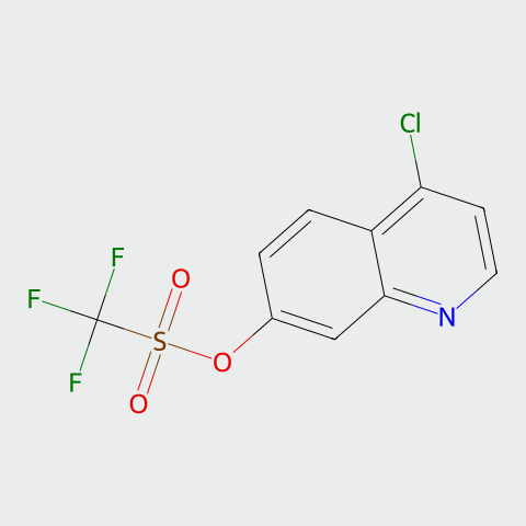 O=S(=O)(Oc1ccc2c(Cl)ccnc2c1)C(F)(F)F